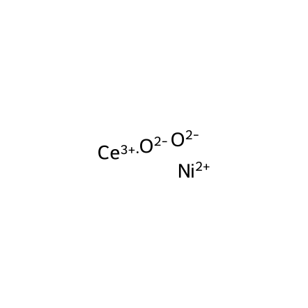 [Ce+3].[Ni+2].[O-2].[O-2]